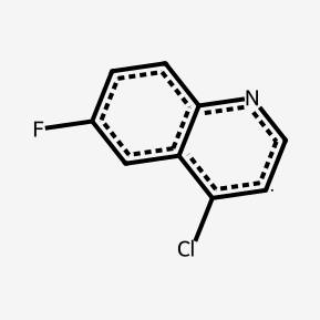 Fc1ccc2nc[c]c(Cl)c2c1